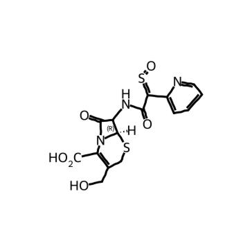 O=S=C(C(=O)NC1C(=O)N2C(C(=O)O)=C(CO)CS[C@H]12)c1ccccn1